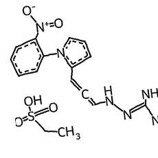 CCS(=O)(=O)O.NC(N)=NNC=C=Cc1cccn1-c1ccccc1[N+](=O)[O-]